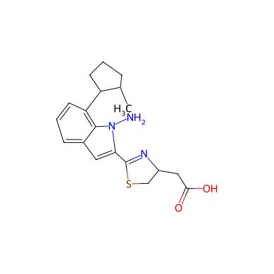 CC1CCCC1c1cccc2cc(C3=NC(CC(=O)O)CS3)n(N)c12